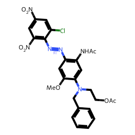 COc1cc(/N=N/c2c(Cl)cc([N+](=O)[O-])cc2[N+](=O)[O-])c(NC(C)=O)cc1N(CCOC(C)=O)Cc1ccccc1